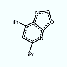 CC(C)c1cc(C(C)C)c2ncoc2n1